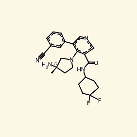 C[C@]1(N)CCN(c2c(C(=O)NC3CCC(F)(F)CC3)cncc2-c2cccc(C#N)c2)C1